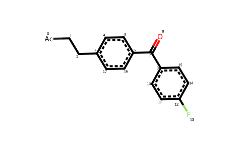 CC(=O)CCc1ccc(C(=O)c2ccc(F)cc2)cc1